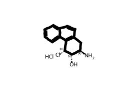 Cl.N[C@@H]1Cc2ccc3ccccc3c2[C@@H](Cl)[C@H]1O